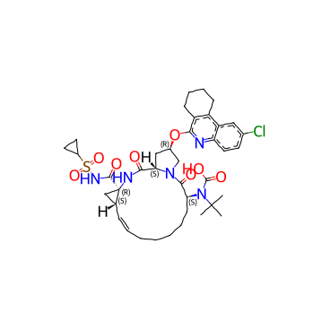 CC(C)(C)N(C(=O)O)[C@H]1CCCCCC=C[C@@H]2C[C@@]2(C(=O)NS(=O)(=O)C2CC2)NC(=O)[C@@H]2C[C@@H](Oc3nc4ccc(Cl)cc4c4c3CCCC4)CN2C1=O